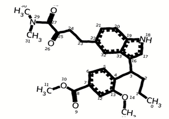 CCCC(c1ccc(C(=O)OC)cc1OC)c1c[nH]c2ccc(CCC(=O)C(=O)N(C)C)cc12